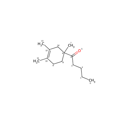 CCCCC(=O)C1(C)CCC(C)=C(C)C1